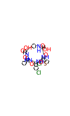 O=C1C[C@@H](O)C(=O)Nc2ccc(cc2)C[C@@H](C(=O)O)NC(=O)[C@@H](Cc2ccccc2)NC(=O)[C@H](Cc2ccc(Cl)cc2Cl)NC(=O)[C@@H](Cc2cccs2)N1